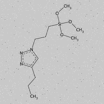 CCCc1cn(CCC[Si](OC)(OC)OC)nn1